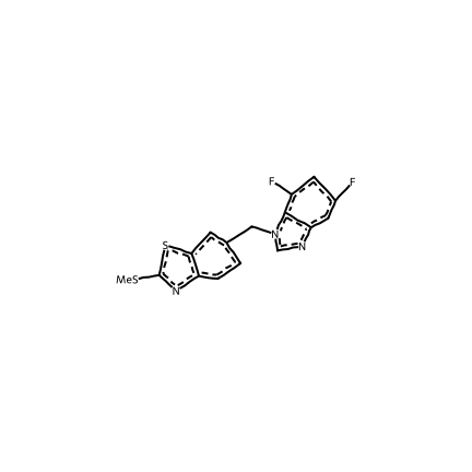 CSc1nc2ccc(Cn3cnc4cc(F)cc(F)c43)cc2s1